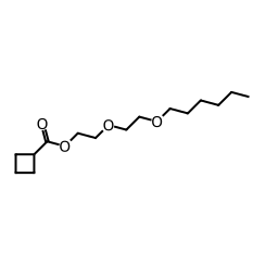 CCCCCCOCCOCCOC(=O)C1CCC1